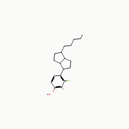 CCCCCC1CCC2C(c3ccc(OC)c(F)c3F)CCC12